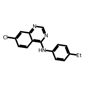 CCc1ccc(Nc2ncnc3cc(Cl)ccc23)cc1